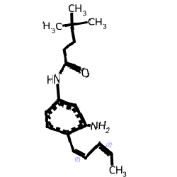 C/C=C\C=C/c1ccc(NC(=O)CCC(C)(C)C)cc1N